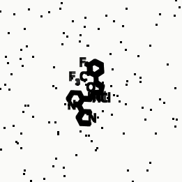 Cl.Cl.Fc1cccc(-c2ccc(C=C3CCCN=C3c3cccnc3)o2)c1C(F)(F)F